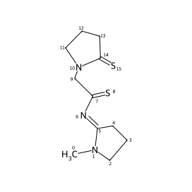 CN1CCC/C1=N\C(=S)CN1CCCC1=S